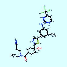 CCN(CCC#N)C(=O)[C@H]1CC[C@@](O)(c2ncc(-c3cc(C)cc(Nc4nccc(C(F)(F)F)n4)c3)s2)CC1